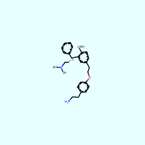 COc1ccc(CCOc2ccc(CCN)cc2)cc1[C@H](CCN(C(C)C)C(C)C)c1ccccc1